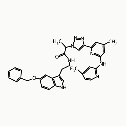 Cc1cc(Nc2cc(C(F)(F)F)ccn2)nc(-c2cn(C(C)C(=O)NCCc3c[nH]c4ccc(OCc5ccccc5)cc34)nn2)c1